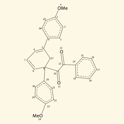 COc1ccc(C2=CC=CC(C(=O)C(=O)c3ccccc3)(c3ccc(OC)cc3)C2)cc1